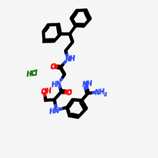 Cl.N=C(N)c1cccc(NC(CO)C(=O)NCC(=O)NCCC(c2ccccc2)c2ccccc2)c1